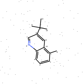 Cc1cccc2ncc(C(C)(C)C)cc12